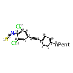 CCCCCc1ccc(C#Cc2cc(Cl)c(N=C=S)c(Cl)c2)cc1